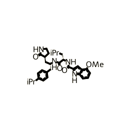 COc1cccc2[nH]c(C(=O)N[C@@H](CC(C)C)C(=O)N[C@H](Cc3ccc(C(C)C)cc3)C[C@@H]3CCNC3=O)cc12